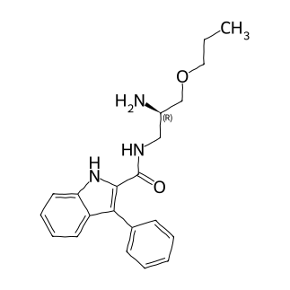 CCCOC[C@H](N)CNC(=O)c1[nH]c2ccccc2c1-c1ccccc1